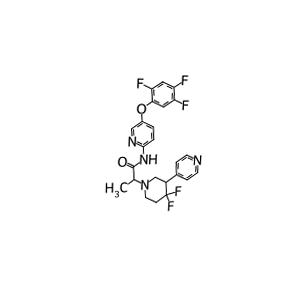 CC(C(=O)Nc1ccc(Oc2cc(F)c(F)cc2F)cn1)N1CCC(F)(F)C(c2ccncc2)C1